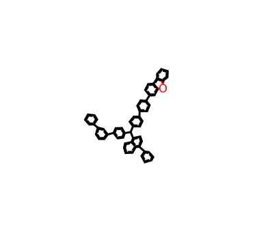 c1ccc(-c2cccc(-c3ccc(C(c4ccc(-c5ccc(-c6ccc7c(c6)oc6ccccc67)cc5)cc4)c4ccc(-c5ccccc5)c5ccccc45)cc3)c2)cc1